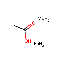 CC(=O)O.[BaH2].[MgH2]